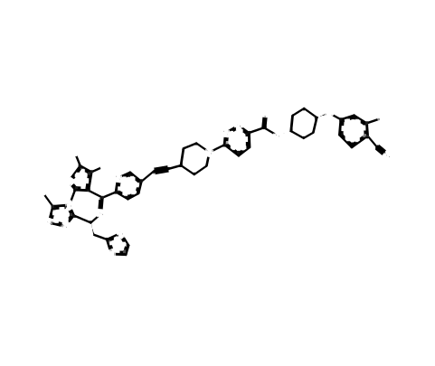 Cc1sc2c(c1C)C(c1ccc(C#CC3CCN(c4ccc(C(=O)N[C@H]5CC[C@H](Oc6ccc(C#N)c(Cl)c6)CC5)nn4)CC3)cn1)=N[C@@H](Cc1ncco1)c1nnc(C)n1-2